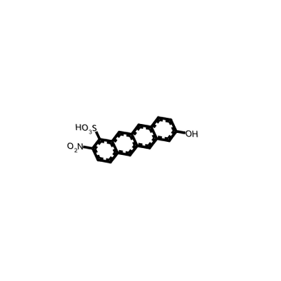 O=[N+]([O-])c1ccc2cc3cc4cc(O)ccc4cc3cc2c1S(=O)(=O)O